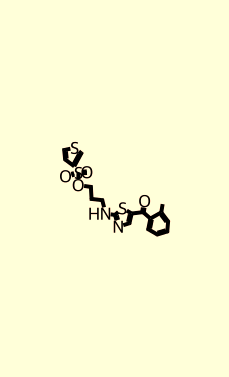 Cc1ccccc1C(=O)c1cnc(NCCCOS(=O)(=O)c2ccsc2)s1